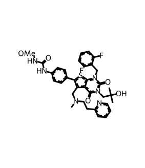 CONC(=O)Nc1ccc(-c2sc3c(c2CN(C)CCc2ccccn2)c(=O)n(CC(C)(C)O)c(=O)n3Cc2c(F)cccc2F)cc1